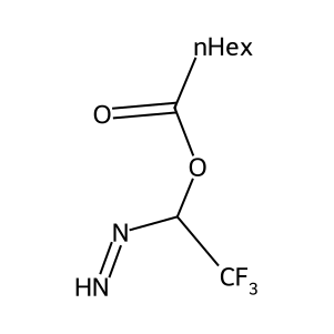 CCCCCCC(=O)OC(N=N)C(F)(F)F